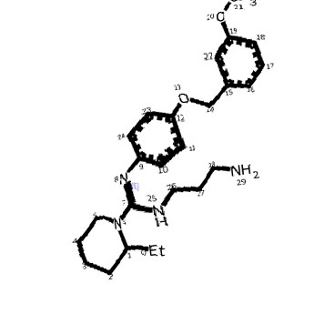 CCC1CCCCN1/C(=N/c1ccc(OCc2cccc(OC(F)(F)F)c2)cc1)NCCCN